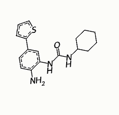 Nc1ccc(-c2cccs2)cc1NC(=O)NC1CCCCC1